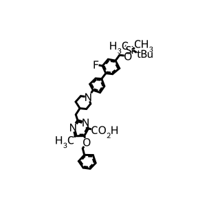 Cc1nc(CC2CCN(c3ccc(-c4ccc(CO[Si](C)(C)C(C)(C)C)cc4F)cc3)CC2)nc(C(=O)O)c1OCc1ccccc1